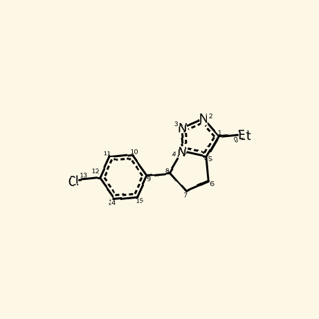 [CH2]Cc1nnn2c1CCC2c1ccc(Cl)cc1